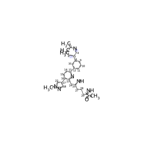 C=C(C)/N=C\C(=C/C)c1cccc(-c2ccc(-c3cnn(C)c3)c(CC(=N)CCCS(C)(=N)=O)n2)c1